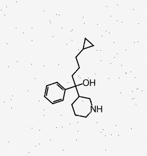 OC(CCCC1CC1)(c1ccccc1)C1CCCNC1